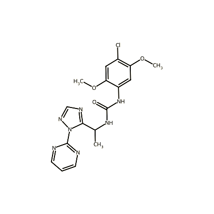 COc1cc(NC(=O)NC(C)c2ncnn2-c2ncccn2)c(OC)cc1Cl